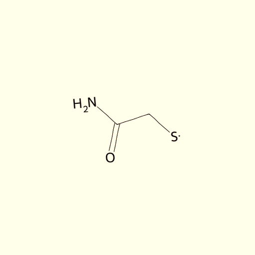 NC(=O)C[S]